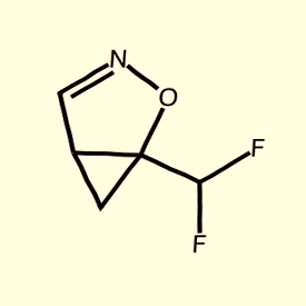 FC(F)C12CC1C=NO2